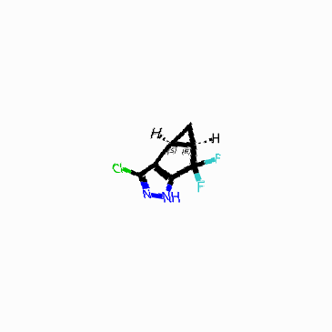 FC1(F)c2[nH]nc(Cl)c2[C@H]2C[C@H]21